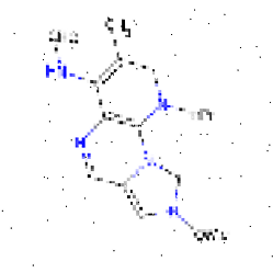 CCCN1CC(C)=C(NC=O)C2=C1N1CN(OC)C=C1C=N2